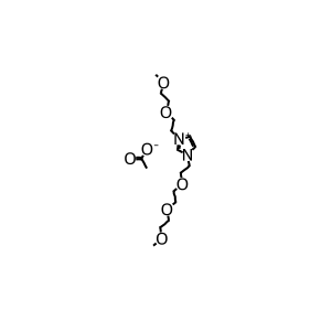 CC(=O)[O-].COCCOCCOCCn1cc[n+](CCOCCOC)c1